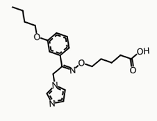 CCCCOc1cccc(/C(Cn2ccnc2)=N\OCCCCC(=O)O)c1